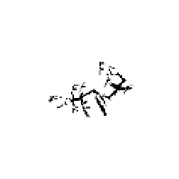 CN(CC(F)(F)CC(F)(F)F)CC(F)(F)C(F)(F)C(F)(F)F